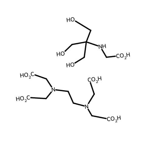 O=C(O)CN(CCN(CC(=O)O)CC(=O)O)CC(=O)O.O=C(O)CNC(CO)(CO)CO